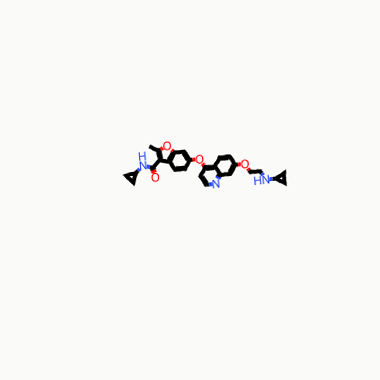 Cc1oc2cc(Oc3ccnc4cc(OCCNC5CC5)ccc34)ccc2c1C(=O)NC1CC1